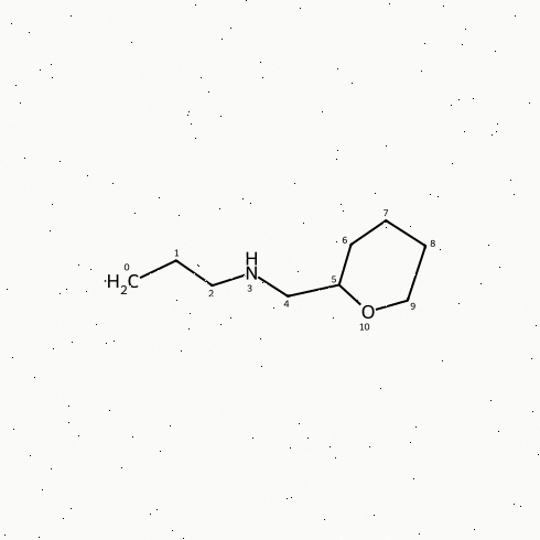 [CH2]CCNCC1CCCCO1